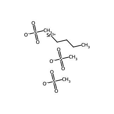 CCC[CH2][Sn+3].CS(=O)(=O)[O-].CS(=O)(=O)[O-].CS(=O)(=O)[O-]